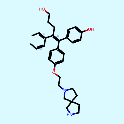 C\C=C/C(=C\C)C(/CCCO)=C(/c1ccc(O)cc1)c1ccc(OCCN2CCC3(CCNC3)C2)cc1